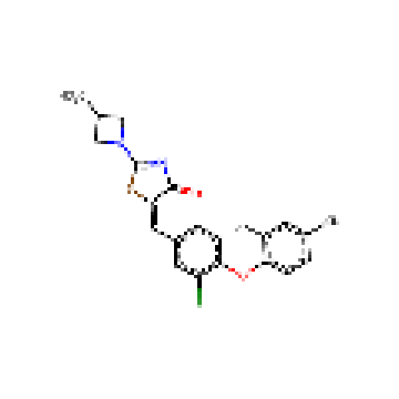 N#Cc1ccc(Oc2ccc(C=C3SC(N4CC(C(=O)O)C4)=NC3=O)cc2F)c(C(F)(F)F)c1